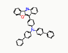 c1ccc(-c2ccc(N(c3ccc(-c4ccccc4)cc3)c3ccc(-c4c5ccccc5nc5c4oc4ccccc45)cc3)cc2)cc1